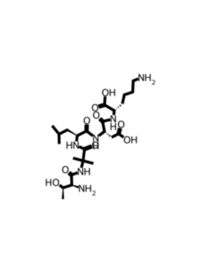 CC(C)C[C@H](NC(=O)C(C)(C)NC(=O)[C@@H](N)[C@@H](C)O)C(=O)N[C@@H](CC(=O)O)C(=O)N[C@@H](CCCCN)C(=O)O